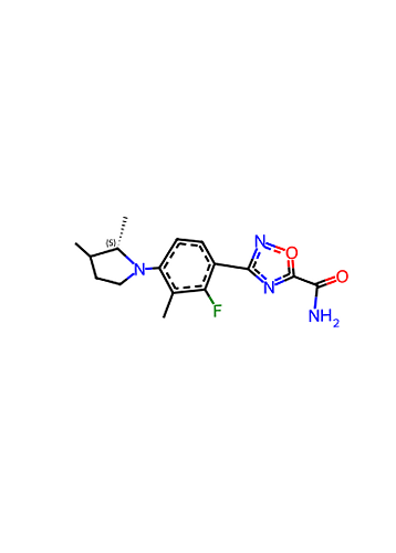 Cc1c(N2CCC(C)[C@@H]2C)ccc(-c2noc(C(N)=O)n2)c1F